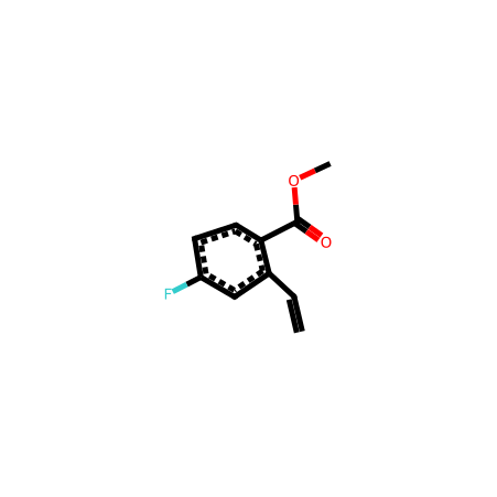 C=Cc1cc(F)ccc1C(=O)OC